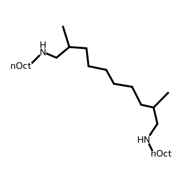 CCCCCCCCNCC(C)CCCCCCC(C)CNCCCCCCCC